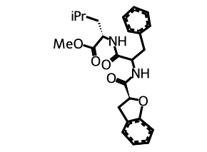 COC(=O)[C@H](CC(C)C)NC(=O)C(Cc1ccccc1)NC(=O)[C@@H]1Cc2ccccc2O1